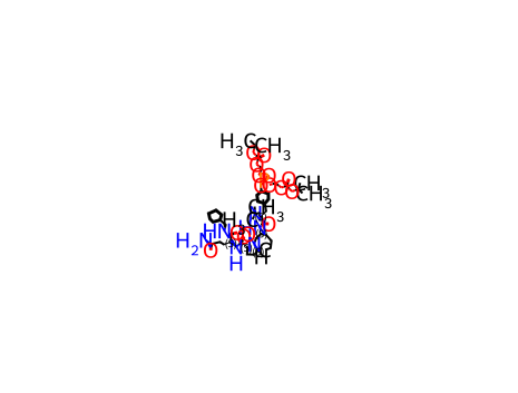 CC(C)OC(=O)OCOP(=O)(OCOC(=O)OC(C)C)Oc1ccc(C[C@@H](C(=O)N[C@H]2CCCC[C@H]3CC[C@@H](C(=O)N[C@@H](CCC(N)=O)C(=O)NCc4ccccc4)N3C2=O)N(C)C)cc1